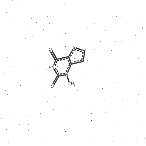 Cn1c(=O)[nH]c(=O)c2sccc21